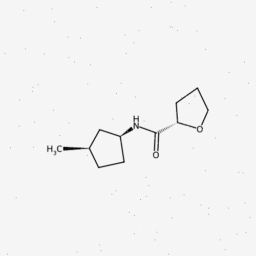 C[C@@H]1CC[C@H](NC(=O)[C@@H]2CCCO2)C1